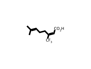 CC(C)=CCCC(=CC(=O)O)C(F)(F)F